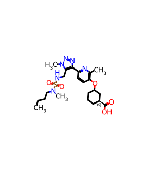 CCCCN(C)S(=O)(=O)NCc1c(-c2ccc(OC3CCC[C@H](C(=O)O)C3)c(C)n2)nnn1C